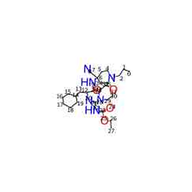 CCCN1CCC(C#N)(NC(=O)C(CC2CCCCC2)/N=C(/NC(=O)OCC)N2CCOCC2)CC1